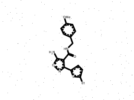 CCc1ccc(-c2noc(N)c2C(=O)NCc2ccc(OC)cc2)s1